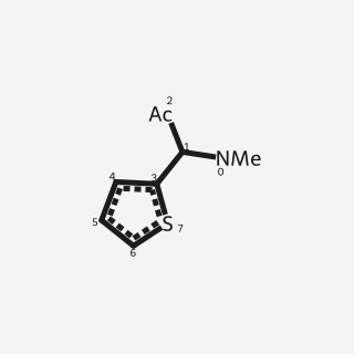 CNC(C(C)=O)c1cccs1